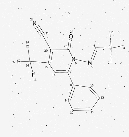 CC(C)(C)C=Nn1c(-c2ccccc2)cc(C(F)(F)F)c(C#N)c1=O